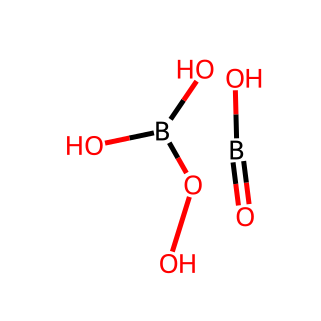 O=BO.OOB(O)O